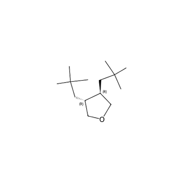 CC(C)(C)C[C@H]1COC[C@@H]1CC(C)(C)C